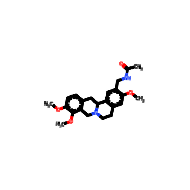 COc1cc2c(cc1CNC(C)=O)C1Cc3ccc(OC)c(OC)c3CN1CC2